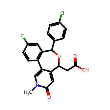 Cn1cc2c(cc1=O)C(CC(=O)O)OC(c1ccc(Cl)cc1)c1cc(F)ccc1-2